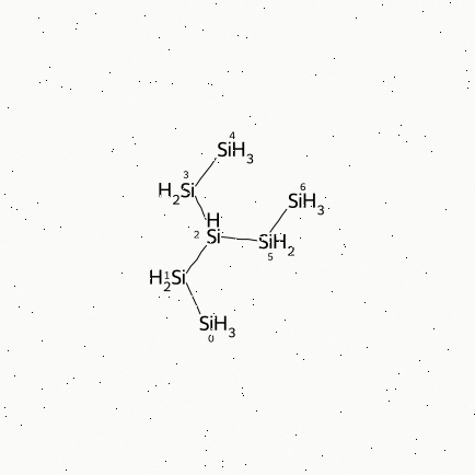 [SiH3][SiH2][SiH]([SiH2][SiH3])[SiH2][SiH3]